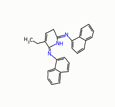 CCC1=CCC(=Nc2cccc3ccccc23)NC1=Nc1cccc2ccccc12